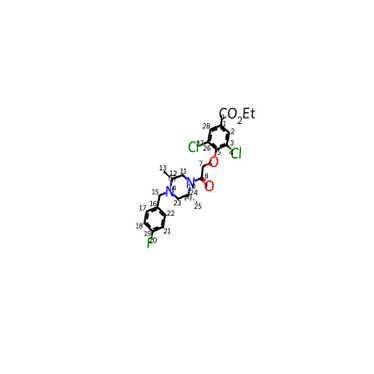 CCOC(=O)c1cc(Cl)c(OCC(=O)N2C[C@H](C)N(Cc3ccc(F)cc3)C[C@H]2C)c(Cl)c1